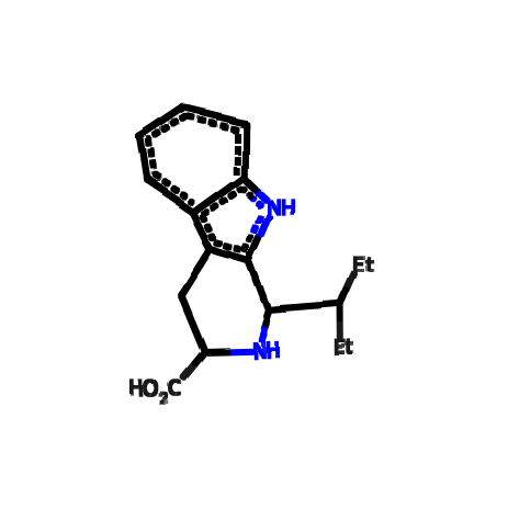 CCC(CC)C1NC(C(=O)O)Cc2c1[nH]c1ccccc21